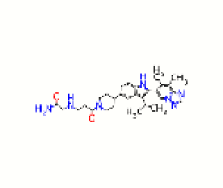 Cc1c(-c2[nH]c3ccc(C4CCN(C(=O)CCNCC(N)=O)CC4)cc3c2C(C)C)cn2ncnc2c1C